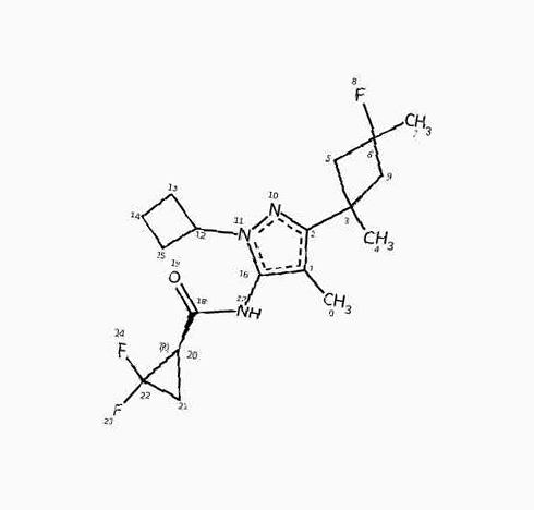 Cc1c(C2(C)CC(C)(F)C2)nn(C2CCC2)c1NC(=O)[C@H]1CC1(F)F